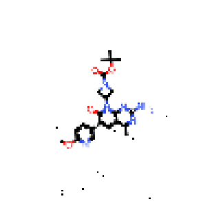 COc1ccc(-c2cc3c(C)nc(N)nc3n(C3CN(C(=O)OC(C)(C)C)C3)c2=O)cn1